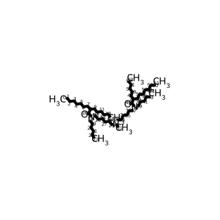 CCCCCCCCC(CCCCCC)C(=O)N(CCCCCC)CCCCCCN(C)CCCCCCN(CCCCCC)C(=O)C(CCCCCC)CCCCCCCC